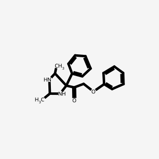 CC1NC(C)C(C(=O)COc2ccccc2)(c2ccccc2)N1